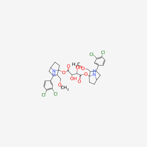 COCC1C(c2ccc(Cl)c(Cl)c2)CC2CCC1(OC(=O)C(O)C(O)C(=O)OC13CCC(CC(c4ccc(Cl)c(Cl)c4)C1COC)N3)N2